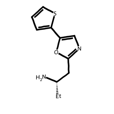 CC[C@H](N)Cc1ncc(-c2cccs2)o1